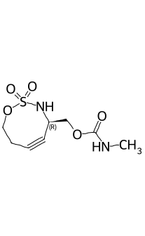 CNC(=O)OC[C@H]1C#CCCOS(=O)(=O)N1